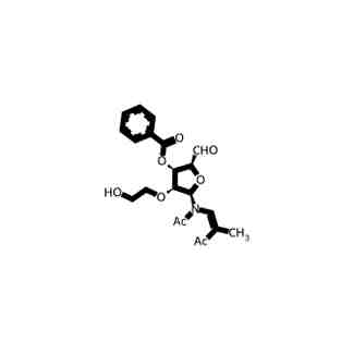 CC(=O)/C(C)=C\N(C(C)=O)[C@@H]1O[C@H](C=O)[C@@H](OC(=O)c2ccccc2)[C@H]1OCCO